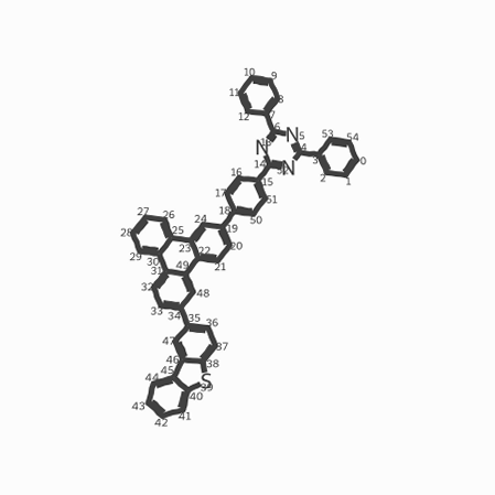 c1ccc(-c2nc(-c3ccccc3)nc(-c3ccc(-c4ccc5c(c4)c4ccccc4c4ccc(-c6ccc7sc8ccccc8c7c6)cc45)cc3)n2)cc1